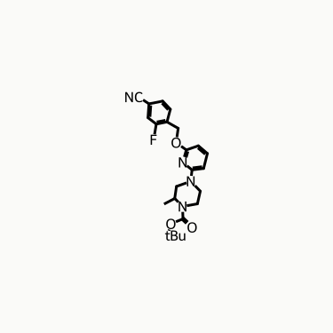 CC1CN(c2cccc(OCc3ccc(C#N)cc3F)n2)CCN1C(=O)OC(C)(C)C